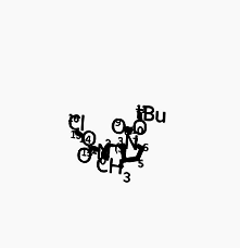 CN(C[C@@H]1CCCN1C(=O)OC(C)(C)C)C(=O)OCCl